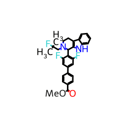 COC(=O)c1ccc(-c2cc(F)c(C3c4[nH]c5ccccc5c4CCN3CC(C)(C)F)c(F)c2)cc1